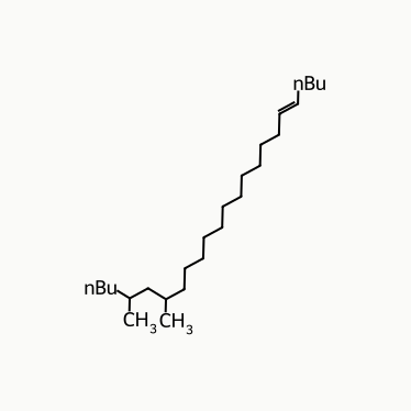 [CH2]CCCC=CCCCCCCCCCCCC(C)CC(C)CCC[CH2]